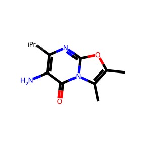 Cc1oc2nc(C(C)C)c(N)c(=O)n2c1C